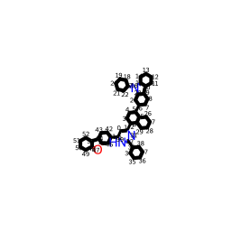 C1=C(c2ccc(-c3ccc4c5ccccc5n(-c5ccccc5)c4c3)c3ccccc23)N=C(c2ccccc2)NC1c1ccc2c(c1)oc1ccccc12